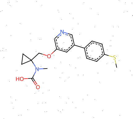 CSc1ccc(-c2cncc(OCC3(N(C)C(=O)O)CC3)c2)cc1